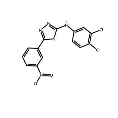 O=[N+]([O-])c1cccc(-c2nnc(Nc3ccc(Cl)c(Cl)c3)s2)c1